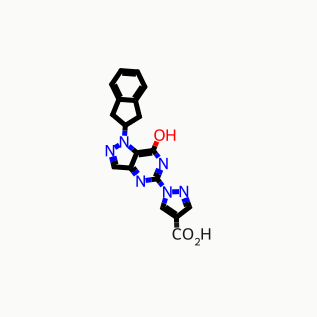 O=C(O)c1cnn(-c2nc(O)c3c(cnn3C3Cc4ccccc4C3)n2)c1